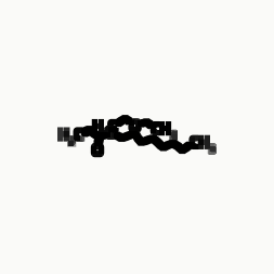 C=CC(=O)OCCCCCCCC.CCOCC